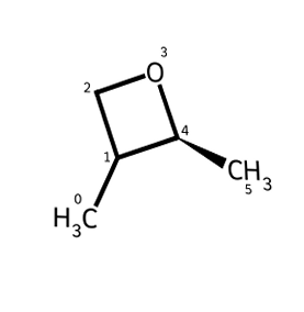 CC1CO[C@H]1C